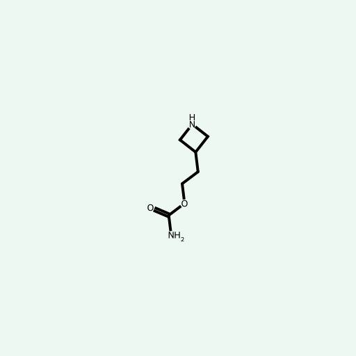 NC(=O)OCCC1CNC1